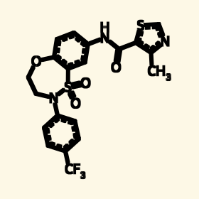 Cc1ncsc1C(=O)Nc1ccc2c(c1)S(=O)(=O)N(c1ccc(C(F)(F)F)cc1)CCO2